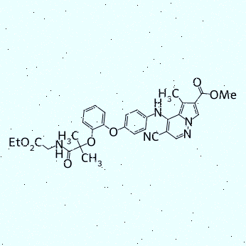 CCOC(=O)CNC(=O)C(C)(C)Oc1ccccc1Oc1ccc(Nc2c(C#N)cnn3cc(C(=O)OC)c(C)c23)cc1